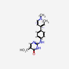 C=N/C=C\C(=C/C)c1ccc(Nc2ncc(C(=O)O)c(=O)[nH]2)cc1